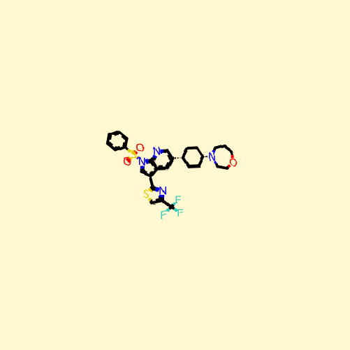 O=S(=O)(c1ccccc1)n1cc(-c2nc(C(F)(F)F)cs2)c2cc([C@H]3CC[C@@H](N4CCCOCC4)CC3)cnc21